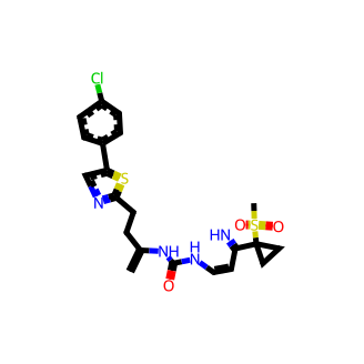 C=C(CCc1ncc(-c2ccc(Cl)cc2)s1)NC(=O)N/C=C\C(=N)C1(S(C)(=O)=O)CC1